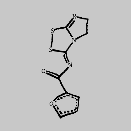 O=C(N=C1SSC2=NCCN21)c1ccco1